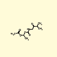 CC(=O)OC(C)OC(=O)NCC(=O)C(C)C